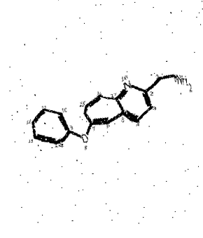 NCc1ccc2cc(Oc3ccccc3)ccc2n1